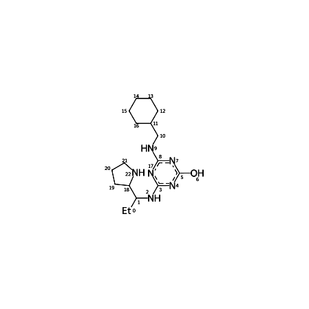 CCC(Nc1nc(O)nc(NCC2CCCCC2)n1)C1CCCN1